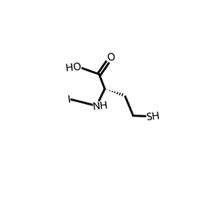 O=C(O)[C@H](CCS)NI